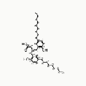 CCCCCCCCCc1ccc(O)c(CN(CC(=O)O)Cc2cc(CCCCCCCCC)ccc2O)c1